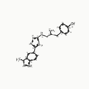 Cc1n[nH]c2ccc(-c3nnc(NCC(N)Cc4ccc(O)cc4)s3)cc12